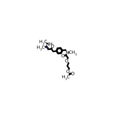 CN/C(C)=C\C(=O)Cc1ccc(CN(C)C(=O)COCCCOC(C)=O)cc1